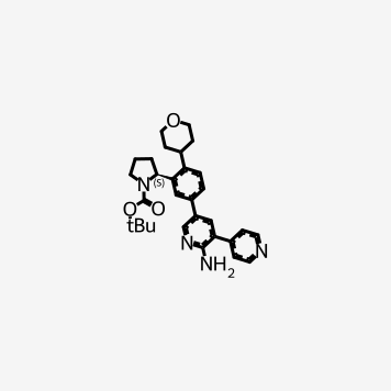 CC(C)(C)OC(=O)N1CCC[C@H]1c1cc(-c2cnc(N)c(-c3ccncc3)c2)ccc1C1CCOCC1